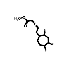 COC(=O)C=C=CCC1CCC(F)C(F)CC1F